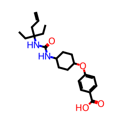 C=CCC(CC)(CC)NC(=O)NC1CCC(Oc2ccc(C(=O)O)cc2)CC1